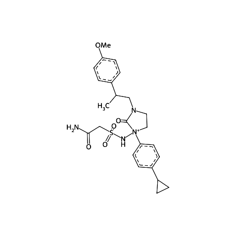 COc1ccc(C(C)CN2CC[N+](NS(=O)(=O)CC(N)=O)(c3ccc(C4CC4)cc3)C2=O)cc1